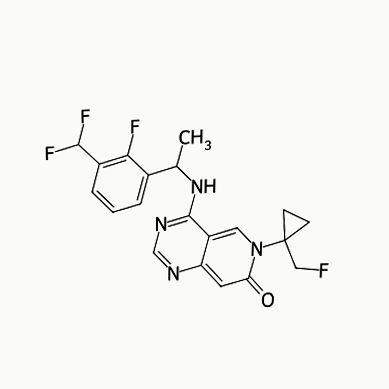 CC(Nc1ncnc2cc(=O)n(C3(CF)CC3)cc12)c1cccc(C(F)F)c1F